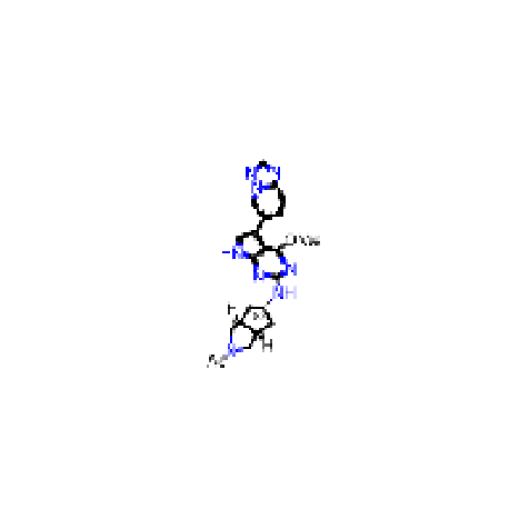 COc1nc(N[C@@H]2C[C@@H]3CN(C(C)=O)C[C@@H]3C2)nc2[nH]cc(-c3ccc4ncnn4c3)c12